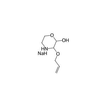 C=CCOC1NCCOC1O.[NaH]